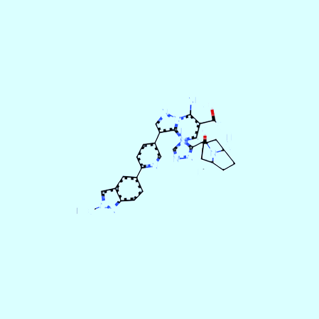 CC(=O)c1c([C@@H]2C[C@H]3CC[C@@H](C2)N3C(=O)c2nnc[nH]2)nc2c(-c3ccc(-c4ccc5nn(C)cc5c4)nc3)cnn2c1N